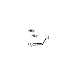 Br.Br.C=CCC